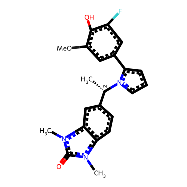 COc1cc(-c2cccn2[C@@H](C)c2ccc3c(c2)n(C)c(=O)n3C)cc(F)c1O